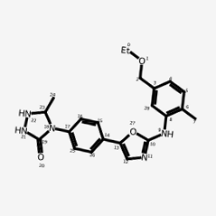 CCOCc1ccc(C)c(Nc2ncc(-c3ccc(N4C(=O)NNC4C)cc3)o2)c1